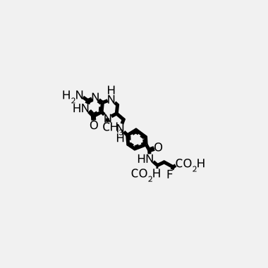 CN1c2c(nc(N)[nH]c2=O)NCC1CNc1ccc(C(=O)N[C@@H](CC(F)C(=O)O)C(=O)O)cc1